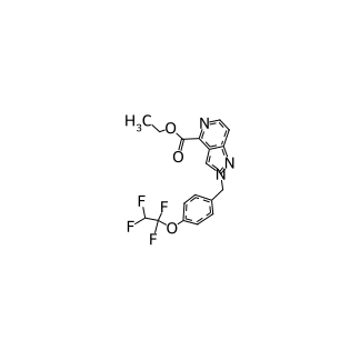 CCOC(=O)c1nccc2nn(Cc3ccc(OC(F)(F)C(F)F)cc3)cc12